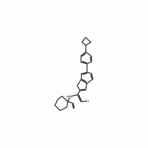 C=CC1(N/C(=C/CC)C2=Cc3ccc(-c4ccc(C5CCC5)cc4)cc3C2)CCCCC1